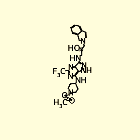 CS(=O)(=O)N1CCC(Nc2nc(C(F)(F)F)nc3c(NC[C@H](O)CN4CCc5ccccc5C4)n[nH]c23)CC1